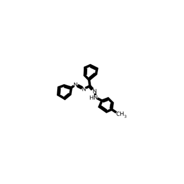 Cc1ccc(NN=C(N=Nc2ccccc2)c2ccccc2)cc1